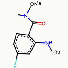 CCCCNc1cc(F)ccc1C(=O)N(C)OC